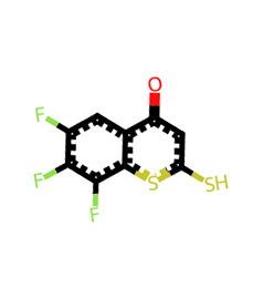 O=c1cc(S)sc2c(F)c(F)c(F)cc12